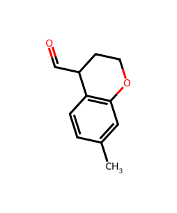 Cc1ccc2c(c1)OCCC2C=O